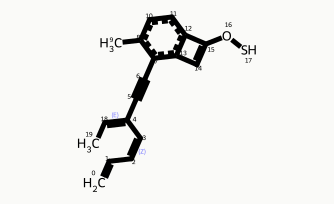 C=C/C=C\C(C#Cc1c(C)ccc2c1C=C2OS)=C/C